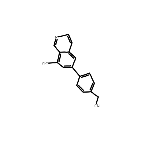 CCCc1cc(-c2ccc(CC#N)cc2)cc2ccncc12